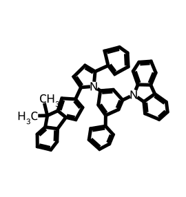 CC1(C)c2ccccc2-c2ccc(-c3ccc(-c4ccccc4)n3-c3cc(-c4ccccc4)cc(-n4c5ccccc5c5ccccc54)c3)cc21